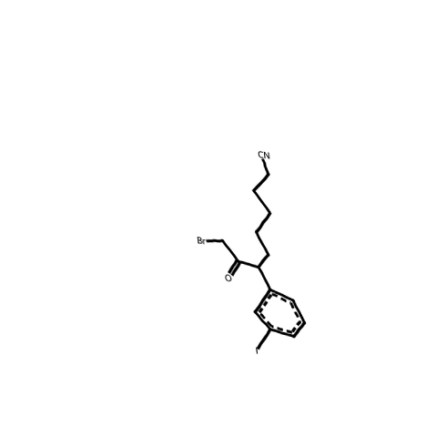 N#CCCCCCC(C(=O)CBr)c1cccc(I)c1